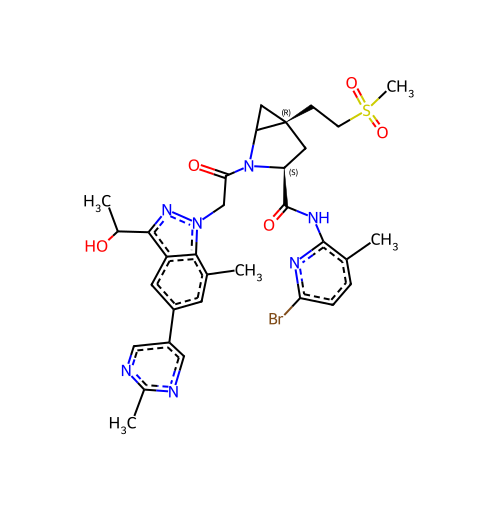 Cc1ncc(-c2cc(C)c3c(c2)c(C(C)O)nn3CC(=O)N2C3C[C@]3(CCS(C)(=O)=O)C[C@H]2C(=O)Nc2nc(Br)ccc2C)cn1